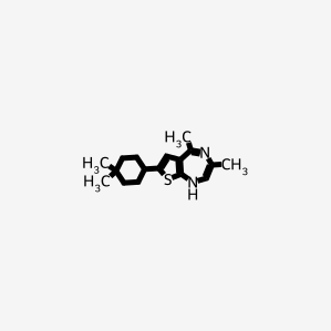 CC1=CNc2sc(C3CCC(C)(C)CC3)cc2C(C)=N1